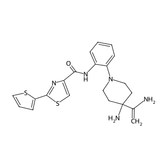 C=C(N)C1(N)CCN(c2ccccc2NC(=O)c2csc(-c3cccs3)n2)CC1